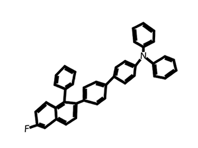 Fc1ccc2c(-c3ccccc3)c(-c3ccc(-c4ccc(N(c5ccccc5)c5ccccc5)cc4)cc3)ccc2c1